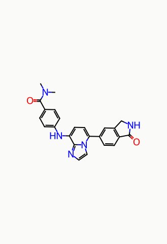 CN(C)C(=O)c1ccc(Nc2ccc(-c3ccc4c(c3)CNC4=O)n3ccnc23)cc1